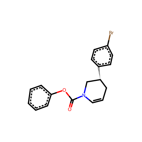 O=C(Oc1ccccc1)N1C=CC[C@@H](c2ccc(Br)cc2)C1